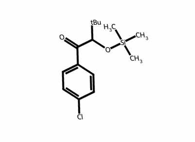 CC(C)(C)C(O[Si](C)(C)C)C(=O)c1ccc(Cl)cc1